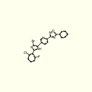 Fc1cccc(Cl)c1-c1nc(Br)c(-c2ccc(-c3noc(-c4ccccc4)n3)nc2)[nH]1